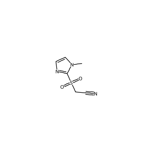 Cn1ccnc1S(=O)(=O)CC#N